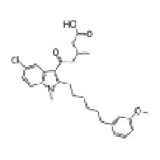 COc1cccc(CCCCCCc2c(C(=O)CC(C)CC(=O)O)c3cc(Cl)ccc3n2C)c1